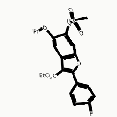 CCOC(=O)c1c(-c2ccc(F)cc2)oc2cc(NS(C)(=O)=O)c(OC(C)C)cc12